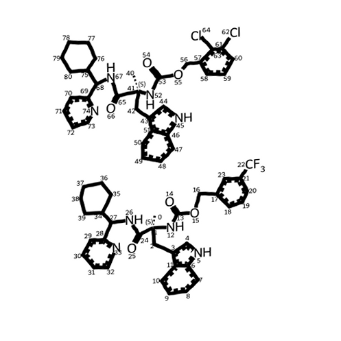 C[C@@](Cc1c[nH]c2ccccc12)(NC(=O)OCc1cccc(C(F)(F)F)c1)C(=O)NC(c1ccccn1)C1CCCCC1.C[C@@](Cc1c[nH]c2ccccc12)(NC(=O)OCc1cccc(Cl)c1Cl)C(=O)NC(c1ccccn1)C1CCCCC1